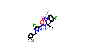 C[C@@H]1Cc2cc(F)cc(F)c2NC(=O)[C@@H]1NC(=O)c1nn(Cc2cccc(C#N)c2)cc1F